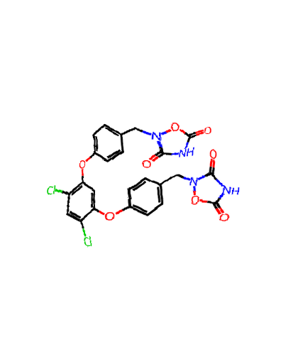 O=c1[nH]c(=O)n(Cc2ccc(Oc3cc(Oc4ccc(Cn5oc(=O)[nH]c5=O)cc4)c(Cl)cc3Cl)cc2)o1